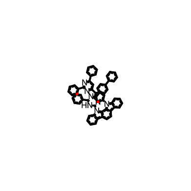 c1ccc(C2=NC(c3ccc(-c4ccccc4)cc3)=NC(n3c4ccccc4c4ccc5c6ccccc6n(-c6ccc(-c7cc(-c8ccccc8)nc(-c8ccccc8)n7)cc6)c5c43)N2)cc1